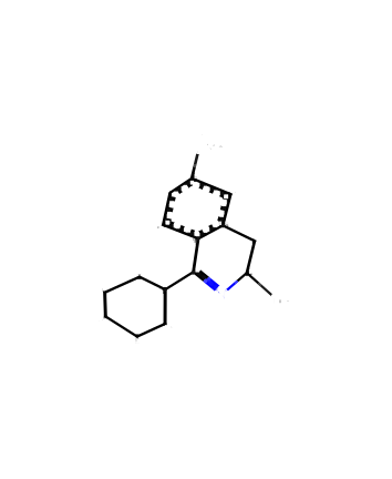 CCCCC1Cc2cc(OC)ccc2C(C2CCCCC2)=N1